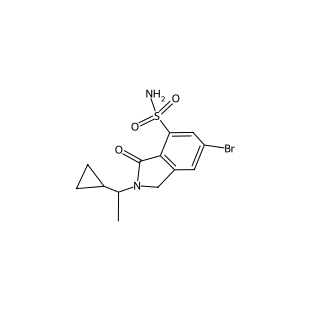 CC(C1CC1)N1Cc2cc(Br)cc(S(N)(=O)=O)c2C1=O